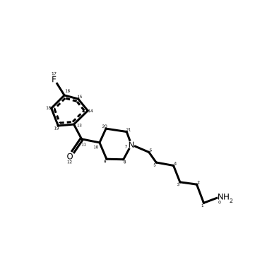 NCCCCCCN1CCC(C(=O)c2ccc(F)cc2)CC1